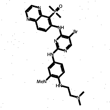 CNc1cc(Nc2ncc(Br)c(Nc3ccc4nccnc4c3P(C)(C)=O)n2)ccc1NCCN(C)C